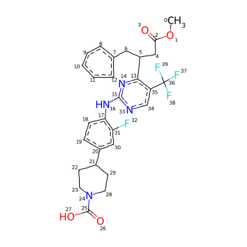 COC(=O)CC(Cc1ccccc1)c1nc(Nc2ccc(C3CCN(C(=O)O)CC3)cc2F)ncc1C(F)(F)F